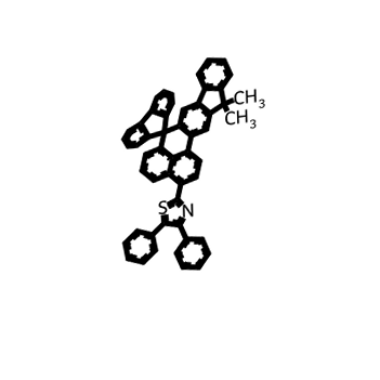 CC1(C)c2ccccc2-c2cc3c(cc21)-c1ccc(-c2nc(-c4ccccc4)c(-c4ccccc4)s2)c2cccc(c12)C31c2ccccc2-c2ccccc21